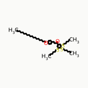 CCCCCCCCCCCCCCCCCCCOc1ccc(C=CC(=O)c2cc(SCCCCCC)c(SCCCCCC)c(SCCCCCC)c2)cc1